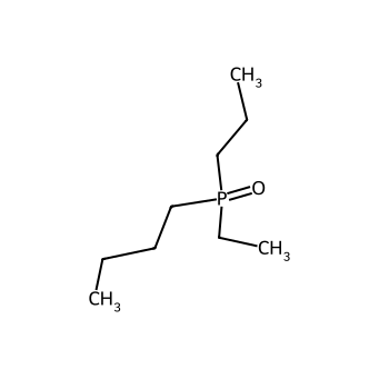 CCCCP(=O)(CC)CCC